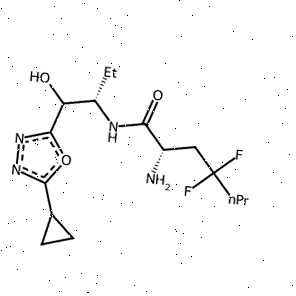 CCCC(F)(F)C[C@H](N)C(=O)N[C@@H](CC)C(O)c1nnc(C2CC2)o1